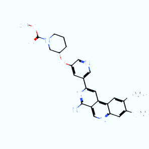 COc1cc2ncc3c(N)nc(-c4cncc(O[C@@H]5CCCN(C(=O)OC(C)(C)C)C5)c4)cc3c2cc1OC